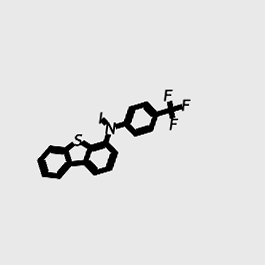 FC(F)(F)c1ccc(N(I)c2cccc3c2sc2ccccc23)cc1